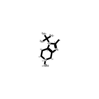 [2H]C([2H])([2H])n1c(C)nc2c1CCN(C(C)(C)C)C2